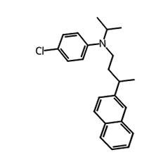 CC(CCN(c1ccc(Cl)cc1)C(C)C)c1ccc2ccccc2c1